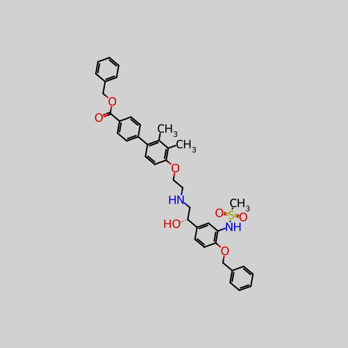 Cc1c(OCCNC[C@@H](O)c2ccc(OCc3ccccc3)c(NS(C)(=O)=O)c2)ccc(-c2ccc(C(=O)OCc3ccccc3)cc2)c1C